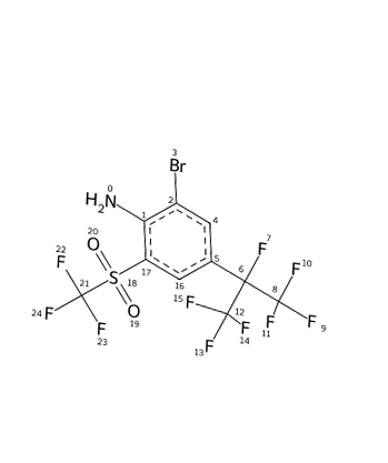 Nc1c(Br)cc(C(F)(C(F)(F)F)C(F)(F)F)cc1S(=O)(=O)C(F)(F)F